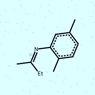 CC/C(C)=N\c1cc(C)ccc1C